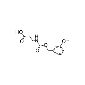 COc1cccc(COC(=O)NCCC(=O)O)c1